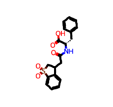 O=C(CC1CS(=O)(=O)c2ccccc21)N[C@@H](Cc1ccccc1)C(=O)O